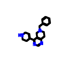 C1=C(c2ncnc3c2CN(Cc2ccccc2)CC3)CCNC1